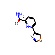 NC(=O)c1cccc(-c2cscn2)n1